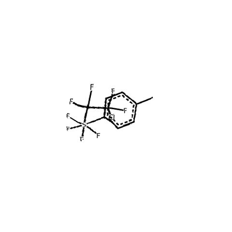 Cc1ccc(S(F)(F)(F)(F)C(F)(F)C(F)(F)Cl)cc1